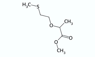 COC(=O)C(C)OCCSC